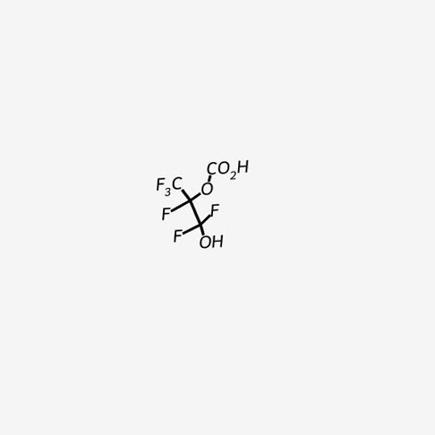 O=C(O)OC(F)(C(O)(F)F)C(F)(F)F